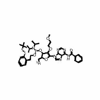 [2H]CC1OC(N2C=NC3C(NC(=O)c4ccccc4)=NC=NC32)C(OCCOC)C1OP(OCCc1ccccc1SSC(C)(C)C)N(C(C)C)C(C)C